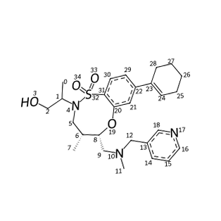 CC(CO)N1C[C@@H](C)[C@@H](CN(C)Cc2cccnc2)Oc2cc(C3=CCCCC3)ccc2S1(=O)=O